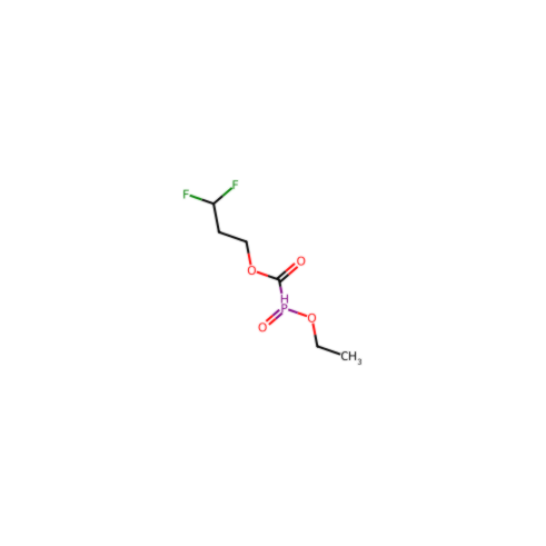 CCO[PH](=O)C(=O)OCCC(F)F